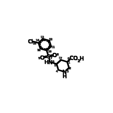 O=C(O)C1CNCC(NS(=O)(=O)c2cccc(Cl)c2)C1